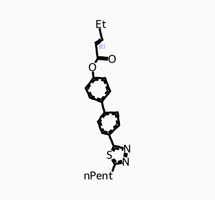 CC/C=C/C(=O)Oc1ccc(-c2ccc(-c3nnc(CCCCC)s3)cc2)cc1